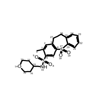 Cc1cc2c(cc1S(=O)(=O)NC1CCOCC1)S(=O)(=O)c1ccccc1CC2